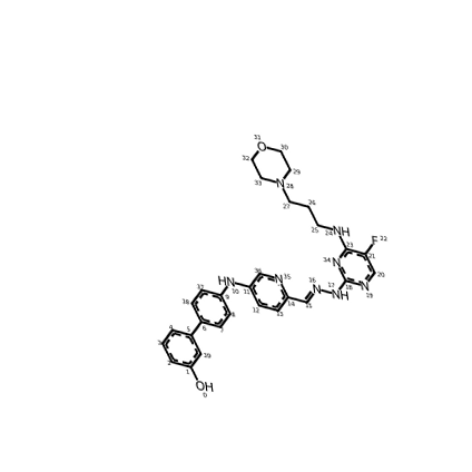 Oc1cccc(-c2ccc(Nc3ccc(/C=N/Nc4ncc(F)c(NCCCN5CCOCC5)n4)nc3)cc2)c1